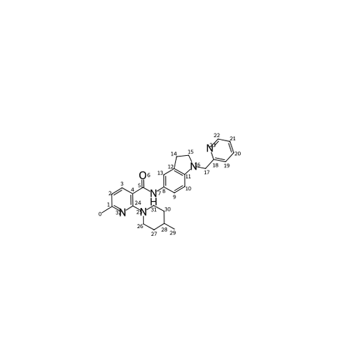 Cc1ccc(C(=O)Nc2ccc3c(c2)CCN3Cc2ccccn2)c(N2CCC(C)CC2)n1